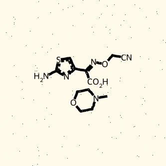 CN1CCOCC1.N#CCON=C(C(=O)O)c1csc(N)n1